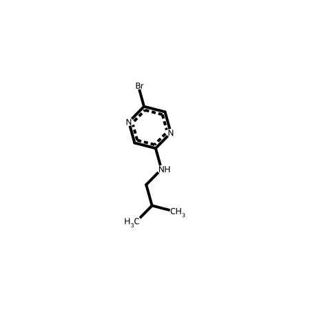 CC(C)CNc1cnc(Br)cn1